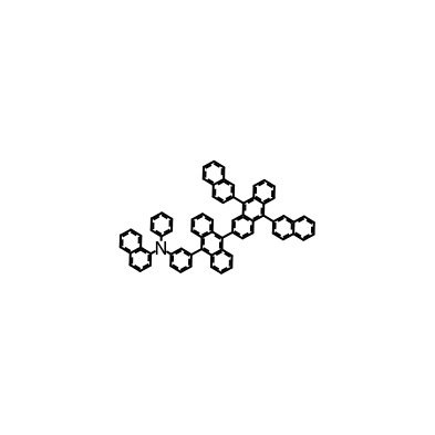 c1ccc(N(c2cccc(-c3c4ccccc4c(-c4ccc5c(-c6ccc7ccccc7c6)c6ccccc6c(-c6ccc7ccccc7c6)c5c4)c4ccccc34)c2)c2cccc3ccccc23)cc1